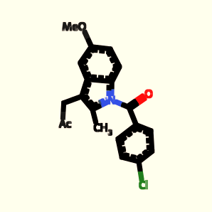 COc1ccc2c(c1)c(CC(C)=O)c(C)n2C(=O)c1ccc(Cl)cc1